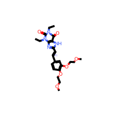 CCn1c(=O)c2[nH]c(/C=C/c3ccc(OCCOC)c(OCCOC)c3)nc2n(CC)c1=O